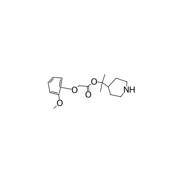 COc1ccccc1OCC(=O)OC(C)(C)C1CCNCC1